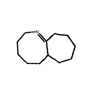 C1CCN=C2CCCCCC2CC1